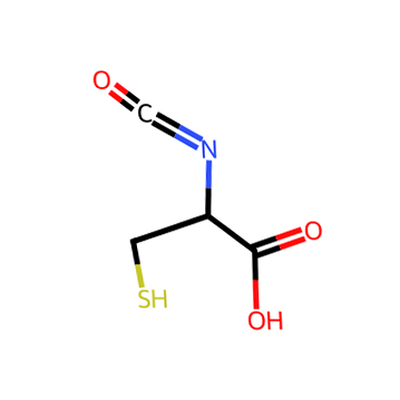 O=C=NC(CS)C(=O)O